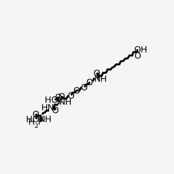 O=C(O)CCCCCCCCCCCCCCCCC(=O)NCCOCCOCCOCCOCCC(=O)N[C@@H](CCC(=O)NCCCC[C@H](NP)C(=O)O)C(=O)O